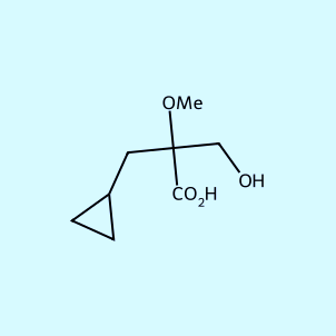 COC(CO)(CC1CC1)C(=O)O